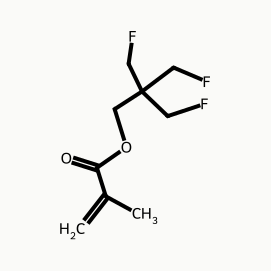 C=C(C)C(=O)OCC(CF)(CF)CF